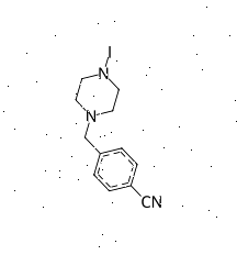 N#Cc1ccc(CN2CCN(I)CC2)cc1